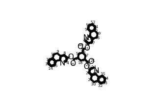 O=C(Oc1cnc2c(c1)CCc1ccccc1-2)C1CC(C(=O)Oc2cnc3c(c2)CCc2ccccc2-3)CC(C(=O)Oc2cnc3c(c2)CCc2ccccc2-3)C1